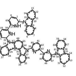 C1=CC(n2c3ccccc3c3ccccc32)NC(C2=CC=CC(n3c4ccccc4c4c5c6ccccc6n(-c6cccc(-c7cccc(-n8c9ccccc9c9ccccc98)n7)n6)c5ccc43)N2)=C1